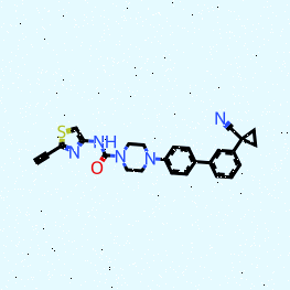 C#Cc1nc(NC(=O)N2CCN(c3ccc(-c4cccc(C5(C#N)CC5)c4)cc3)CC2)cs1